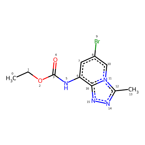 CCOC(=O)Nc1cc(Br)cn2c(C)nnc12